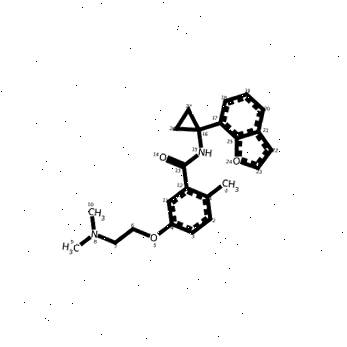 Cc1ccc(OCCN(C)C)cc1C(=O)NC1(c2cccc3ccoc23)CC1